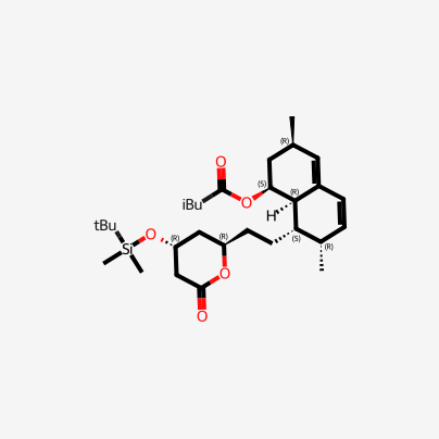 CCC(C)C(=O)O[C@H]1C[C@@H](C)C=C2C=C[C@H](C)[C@H](CC[C@@H]3C[C@@H](O[Si](C)(C)C(C)(C)C)CC(=O)O3)[C@H]21